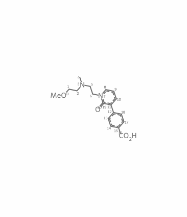 COCCN(C)CCn1cccc(-c2ccc(C(=O)O)cc2)c1=O